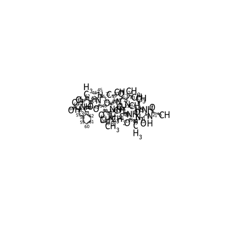 C#CC(=O)NC(NC(=O)C#C)C(=O)N[C@@H](C)C(=O)N[C@@H](C)C(=O)N(C)C(C(=O)N[C@H](C(=O)N(C)[C@@H]([C@@H](C)CC)[C@@H](CC(=O)N1CCC[C@H]1[C@H](OC)[C@@H](C)C(=O)NC(Cc1ccccc1)C(=O)O)OC)C(C)C)C(C)C